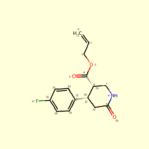 C=CCOC(=O)[C@@H]1CNC(=O)C[C@@H]1c1ccc(F)cc1